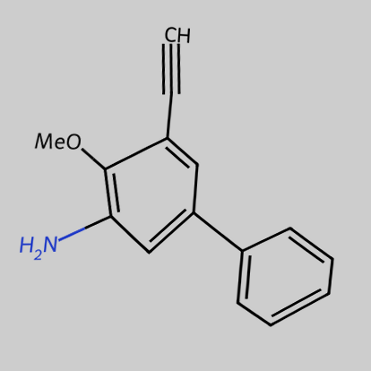 C#Cc1cc(-c2ccccc2)cc(N)c1OC